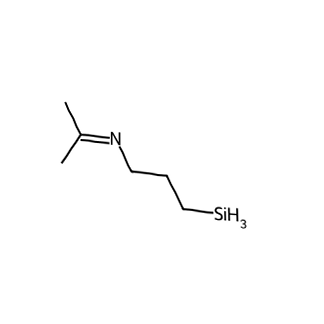 CC(C)=NCCC[SiH3]